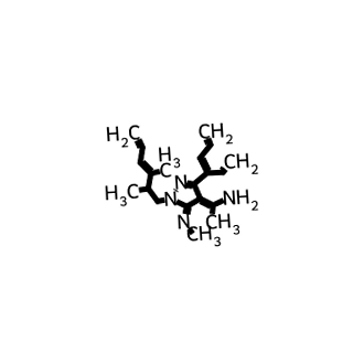 C=C/C=C(\C=C)C1=NN(CC(C)/C(C)=C/C=C)C(=N/C)/C1=C(\C)N